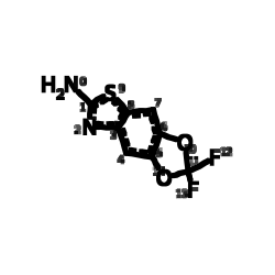 Nc1nc2cc3c(cc2s1)OC(F)(F)O3